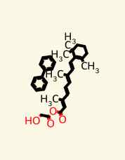 CC1=C(/C=C/C(C)=C/C=C/C(C)=C/C(=O)OC(=O)CO)C(C)(C)CCC1.c1ccc(-c2ccccc2)cc1